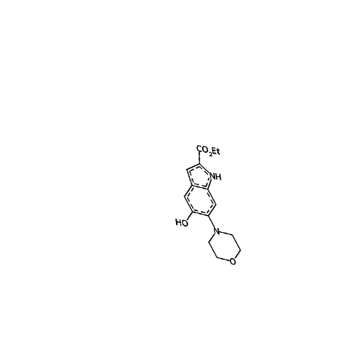 CCOC(=O)c1cc2cc(O)c(N3CCOCC3)cc2[nH]1